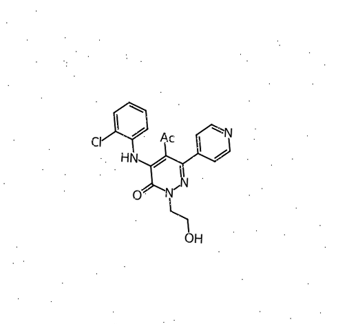 CC(=O)c1c(-c2ccncc2)nn(CCO)c(=O)c1Nc1ccccc1Cl